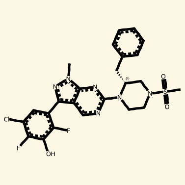 Cn1nc(-c2cc(Cl)c(F)c(O)c2F)c2cnc(N3CCN(S(C)(=O)=O)C[C@H]3Cc3ccccc3)nc21